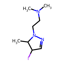 CC1C(I)C=NN1CCN(C)C